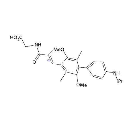 COc1c(C)c(-c2ccc(NC(C)C)cc2)c(OC)c(C)c1/C=C(\C)C(=O)NCC(=O)O